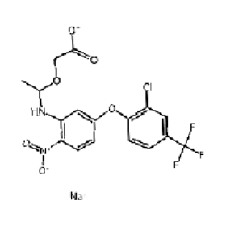 CC(Nc1cc(Oc2ccc(C(F)(F)F)cc2Cl)ccc1[N+](=O)[O-])OCC(=O)[O-].[Na+]